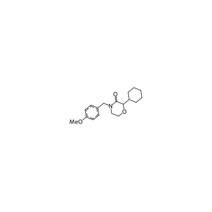 COc1ccc(CN2CCOC(C3CCCCC3)C2=O)cc1